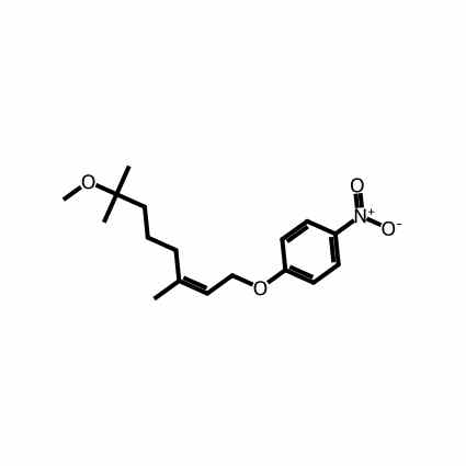 COC(C)(C)CCCC(C)=CCOc1ccc([N+](=O)[O-])cc1